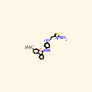 COc1ccc(-c2ccccc2C(=O)Nc2ccc(NCCc3csc(N)n3)cc2)cc1